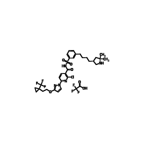 CC1(C)CC(CCCCc2cccc(S(=O)(=O)NC(=O)c3ccc(-n4ccc(OCCC5(C(F)(F)F)CC5)n4)nc3Cl)c2)CN1.O=C(O)C(F)(F)F